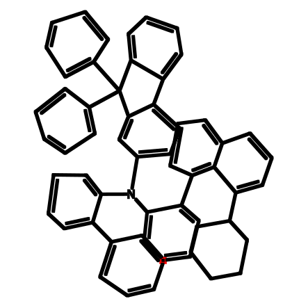 c1ccc(-c2ccccc2N(c2ccc3c(c2)C(c2ccccc2)(c2ccccc2)c2ccccc2-3)c2ccccc2-c2cccc3cccc(C4CCCCC4)c23)cc1